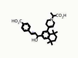 CC(C(=O)O)N1CC=C(c2cc(C(O)/C=C/c3ccc(C(=O)O)cc3)cc3c2C(C)(C)CCC3(C)C)CC1